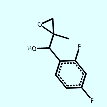 CC1(C(O)c2ccc(F)cc2F)CO1